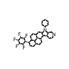 Fc1c(F)c(F)c(-c2ccc3ccc4c5c(ccc2c35)cc2c4c3ccncc3n2-c2ccccc2)c(F)c1F